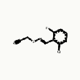 N#CCO/N=C/c1c(Cl)cccc1Cl